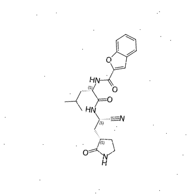 CC(C)C[C@H](NC(=O)c1cc2ccccc2o1)C(=O)N[C@H](C#N)C[C@@H]1CCNC1=O